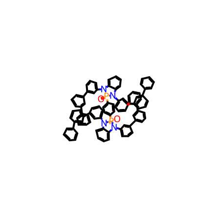 O=P1(c2ccc(P3(=O)N(c4cccc(-c5cccc(-c6ccccc6)c5)c4)c4ccccc4N3c3cccc(-c4cccc(-c5ccccc5)c4)c3)cc2)N(c2cccc(-c3cccc(-c4ccccc4)c3)c2)c2ccccc2N1c1cccc(-c2cccc(-c3ccccc3)c2)c1